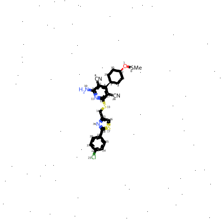 CSO[C@H]1CC[C@@H](c2c(C#N)c(N)nc(SCc3csc(-c4ccc(Cl)cc4)n3)c2C#N)CC1